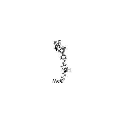 COCCCCC[SiH]1CCC(CC[C@H]2CC[C@H](c3cc(F)c(OC(F)=C(F)F)c(F)c3)CC2)CC1